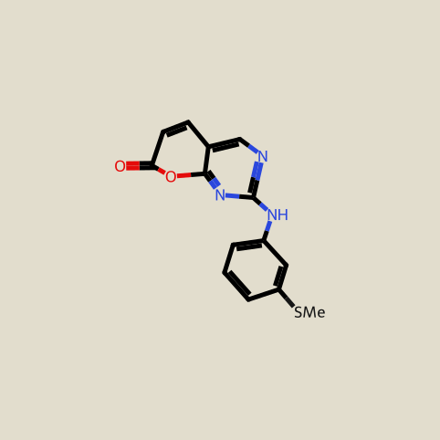 CSc1cccc(Nc2ncc3ccc(=O)oc3n2)c1